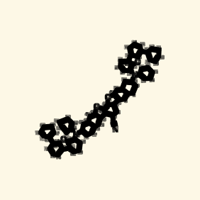 N#Cc1cc2c3cc4ccc(N(c5ccccc5)c5cccc6c5oc5c(-c7ccccc7)cccc56)cc4cc3oc2c2oc3cc4cc(N(c5ccccc5)c5cccc6c5oc5c(-c7ccccc7)cccc56)ccc4cc3c12